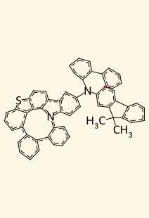 CC1(C)c2ccccc2-c2ccc(N(c3ccc4c(c3)c3ccc5sc6cccc7c8ccccc8c8ccccc8n4c3c5c67)c3ccccc3-c3ccccc3)cc21